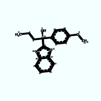 CCC[C@@](O)(c1ccc(OC)cc1)c1nc2ccccc2o1